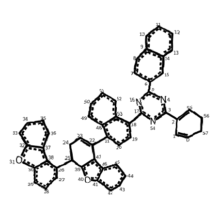 C1=CC(c2nc(-c3ccc4ccccc4c3)nc(-c3ccc(C4=CCC(c5cccc6oc7ccccc7c56)c5oc6ccccc6c54)c4ccccc34)n2)=CCC1